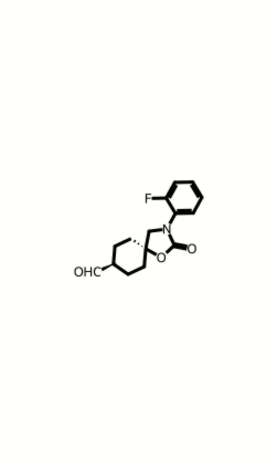 O=C[C@H]1CC[C@]2(CC1)CN(c1ccccc1F)C(=O)O2